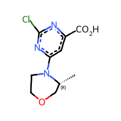 C[C@@H]1COCCN1c1cc(C(=O)O)nc(Cl)n1